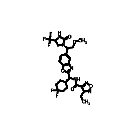 CCc1nonc1C(=O)NC(c1nc2cc(C(COC)N3CC(C(F)(F)F)NC3=O)ccc2o1)C1CCC(F)(F)CC1